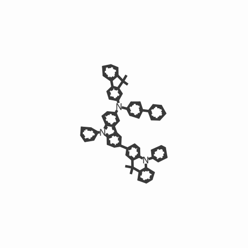 CC1(C)c2ccccc2-c2ccc(N(c3ccc(-c4ccccc4)cc3)c3ccc4c(c3)c3cc(-c5ccc6c(c5)C(C)(C)c5ccccc5N6c5ccccc5)ccc3n4-c3ccccc3)cc21